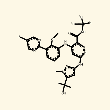 [2H]C([2H])([2H])NC(=O)c1nnc(Nc2cc(C(C)(C)O)n(C)n2)cc1Nc1cccc(-c2ncc(F)cn2)c1OC